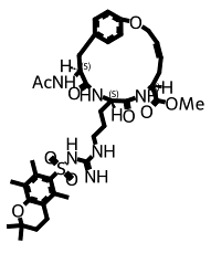 COC(=O)[C@H]1CC=CCOc2ccc(cc2)C[C@H](NC(C)=O)C(=O)N[C@@H](CCCNC(=N)NS(=O)(=O)c2c(C)c(C)c3c(c2C)CCC(C)(C)O3)C(=O)N1